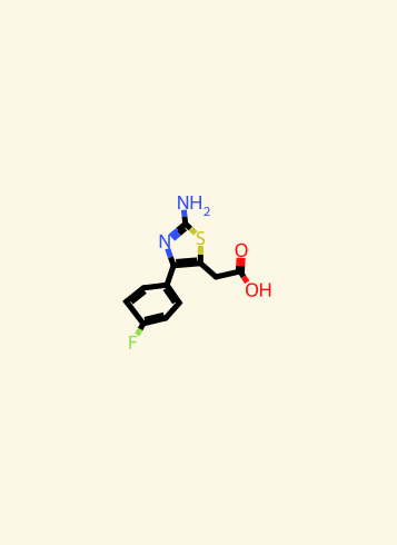 Nc1nc(-c2ccc(F)cc2)c(CC(=O)O)s1